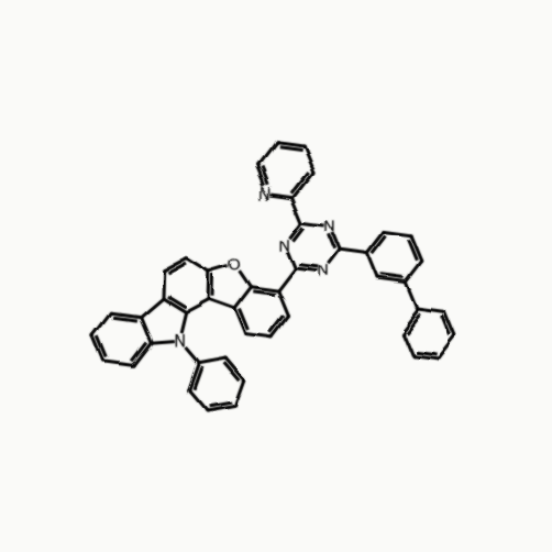 c1ccc(-c2cccc(-c3nc(-c4ccccn4)nc(-c4cccc5c4oc4ccc6c7ccccc7n(-c7ccccc7)c6c45)n3)c2)cc1